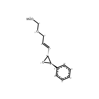 COCOC/C=C/[C@H]1O[C@@H]1c1ccccc1